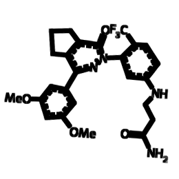 COc1cc(OC)cc(-c2nn(-c3cc(NCCC(N)=O)ccc3C(F)(F)F)c(=O)c3c2CCC3)c1